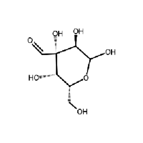 O=C[C@@]1(O)[C@@H](O)C(O)O[C@H](CO)[C@@H]1O